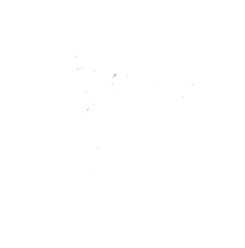 CCN1CCC(O[C@@H]2CC[C@H](C(=O)N3CC=C(c4ccccc4)CC3)[C@@H](C(=O)NO)C2)CC1